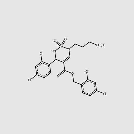 O=C(O)CCCN1C=C(C(=O)OCc2ccc(Cl)cc2Cl)C(c2ccc(Cl)cc2Cl)NS1(=O)=O